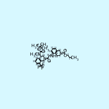 CCCOC(=O)N1CCc2c(cccc2NCC(=O)N(CCN(C)C(=O)OC(C)(C)C)Cc2ccccc2C(F)(F)F)C1